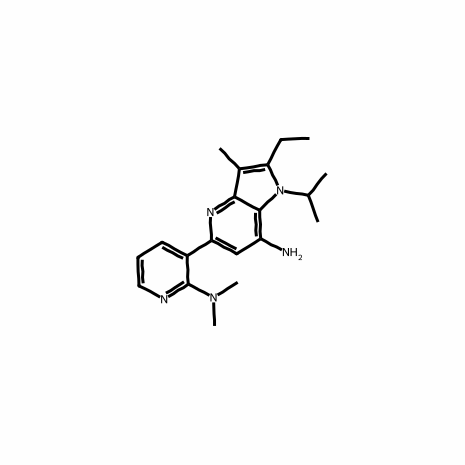 CCc1c(C)c2nc(-c3cccnc3N(C)C)cc(N)c2n1C(C)C